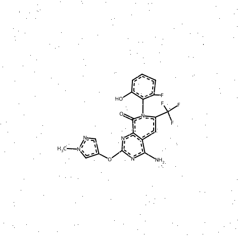 Cn1cc(Oc2nc(N)c3cc(C(F)(F)F)n(-c4c(O)cccc4F)c(=O)c3n2)cn1